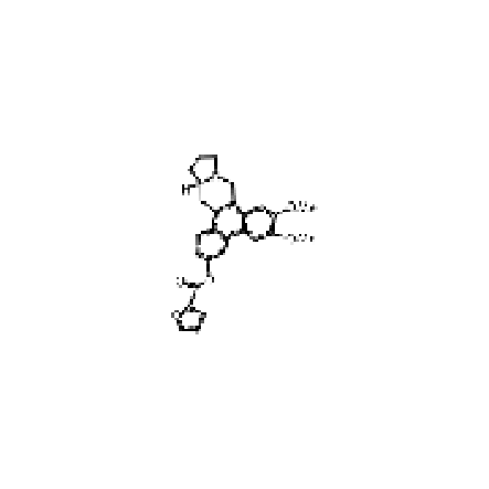 COc1cc2c3c(c4ccc(OC(=O)c5ccco5)cc4c2cc1OC)C[C@@H]1CCCN1C3